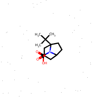 CC(C)(C)C12CCC(CC(=O)C1)N2C(=O)O